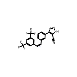 N#Cc1[nH]nnc1-c1cccc(/C=C\c2cc(C(F)(F)F)cc(C(F)(F)F)c2)c1